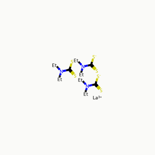 CCN(CC)C(=S)[S-].CCN(CC)C(=S)[S-].CCN(CC)C(=S)[S-].[La+3]